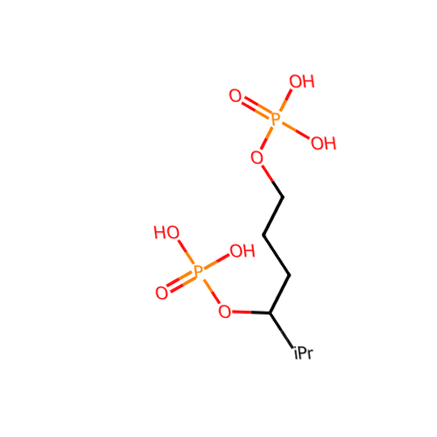 CC(C)C(CCCOP(=O)(O)O)OP(=O)(O)O